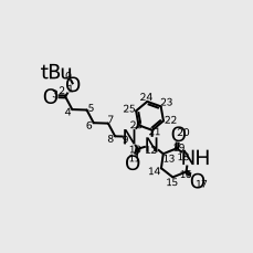 CC(C)(C)OC(=O)CCCCCn1c(=O)n(C2CCC(=O)NC2=O)c2ccccc21